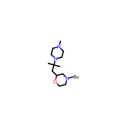 CCC(C)N1CCOC(CC(C)(C)N2CCN(C)CC2)C1